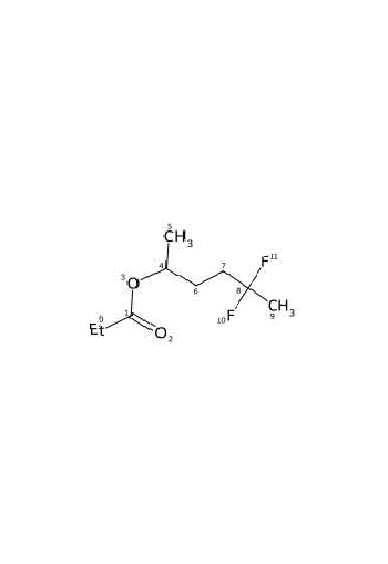 CCC(=O)OC(C)CCC(C)(F)F